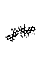 Bc1c(O)c(-c2ccccc2)c(B)c2c1Cc1c(B)c(C(C)NC(N)c3ccc(C4CC=CC5=C4C=CCC5)cc3)c(O)c(O)c1-2